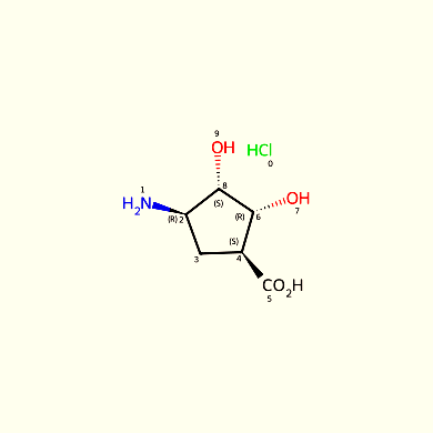 Cl.N[C@@H]1C[C@H](C(=O)O)[C@@H](O)[C@H]1O